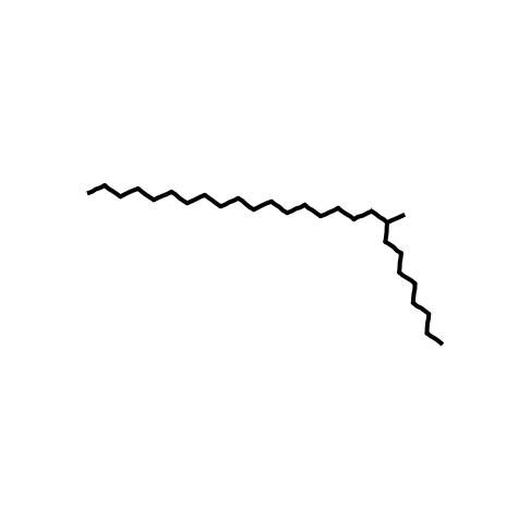 CCCCCCCCCCCCCCCCC[CH]C(C)CCCCCCCC